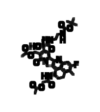 CC[C@@](O)(C(=O)NCCNC(=O)OC(C)(C)C)c1cc2n(c(=O)c1COC(C)=O)Cc1c-2nc2cc(F)c(C)c3c2c1[C@@H](NC(=O)COC(C)=O)CC3